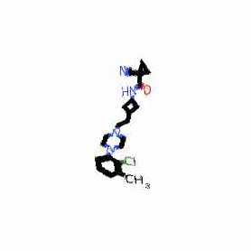 Cc1cccc(N2CCN(CCC3CC(NC(=O)C4(C#N)CC4)C3)CC2)c1Cl